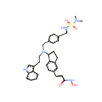 CN(C)S(=O)(=O)NCc1ccc(CN(CCc2c[nH]c3ccccc23)C2CCc3cc(/C=C/C(=O)NO)ccc32)cc1